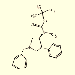 CN(C(=O)OC(C)(C)C)[C@@H]1CN(Cc2ccccc2)C[C@H]1c1ccccc1